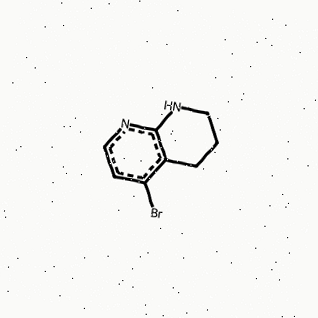 Brc1ccnc2c1CCCN2